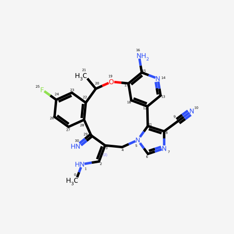 CN/C=C1/Cn2cnc(C#N)c2-c2cnc(N)c(c2)OC(C)c2cc(F)ccc2C1=N